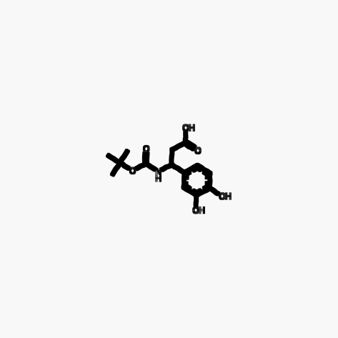 CC(C)(C)OC(=O)NC(CC(=O)O)c1ccc(O)c(O)c1